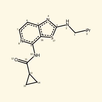 CC(C)CNc1nc2ccnc(NC(=O)C3CC3)c2s1